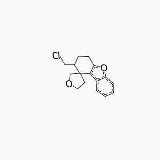 ClCC1CCc2oc3ccccc3c2C12CCOC2